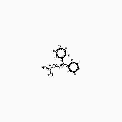 O=[SH](=O)ON=C(c1ccccc1)c1ccccc1